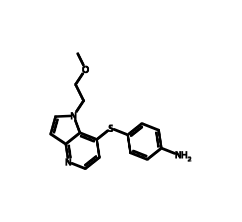 COCCn1ccc2nccc(Sc3ccc(N)cc3)c21